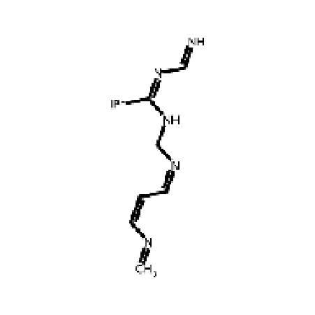 C=N/C=C\C=N/CN/C(=N\C=N)C(C)C